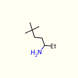 CCC(N)CCC(C)(C)C